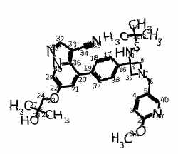 COc1ccc(CN2CC(NSC(C)(C)C)(c3ccc(-c4cc(OCC(C)(C)O)cn5ncc(C#N)c45)cc3)C2)cn1